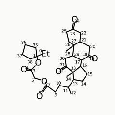 CCC1(OC(=O)COC(=O)CCC(C)C2CCC3C4C(=O)CC5CC(=O)CCC5(C)C4CC(=O)C23C)CCCC1